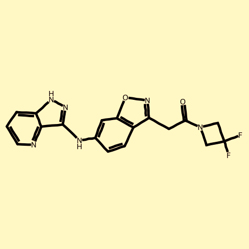 O=C(Cc1noc2cc(Nc3n[nH]c4cccnc34)ccc12)N1CC(F)(F)C1